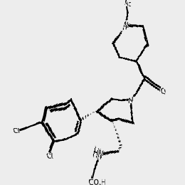 CC(=O)N1CCC(C(=O)N2C[C@H](CNC(=O)O)[C@H](c3ccc(Cl)c(Cl)c3)C2)CC1